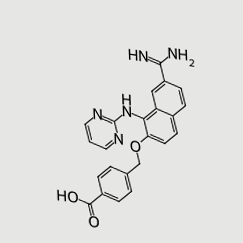 N=C(N)c1ccc2ccc(OCc3ccc(C(=O)O)cc3)c(Nc3ncccn3)c2c1